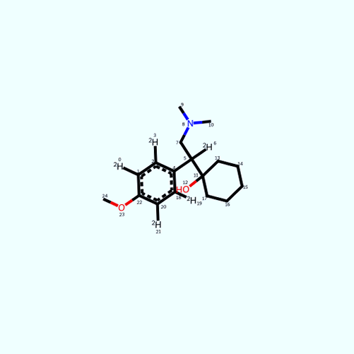 [2H]c1c([2H])c(C([2H])(CN(C)C)C2(O)CCCCC2)c([2H])c([2H])c1OC